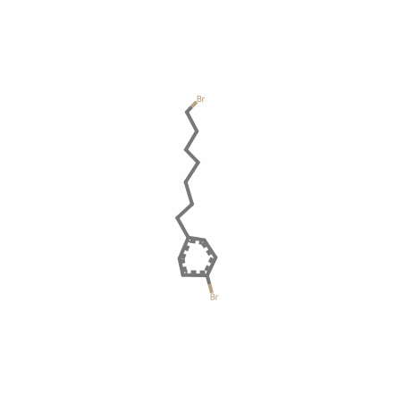 BrCCCCCCCc1ccc(Br)cc1